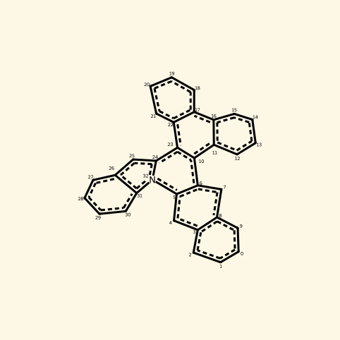 c1ccc2cc3c(cc2c1)c1c2ccccc2c2ccccc2c1c1cc2ccccc2n31